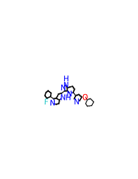 Fc1ccccc1-c1nccc2[nH]c(-c3n[nH]c4ccc(-c5cncc(OC6CCCCC6)c5)nc34)cc12